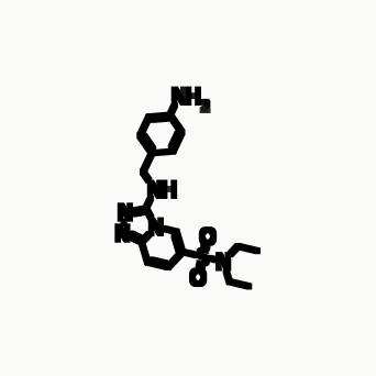 CCN(CC)S(=O)(=O)c1ccc2nnc(NCc3ccc(N)cc3)n2c1